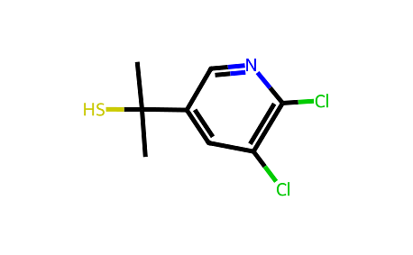 CC(C)(S)c1cnc(Cl)c(Cl)c1